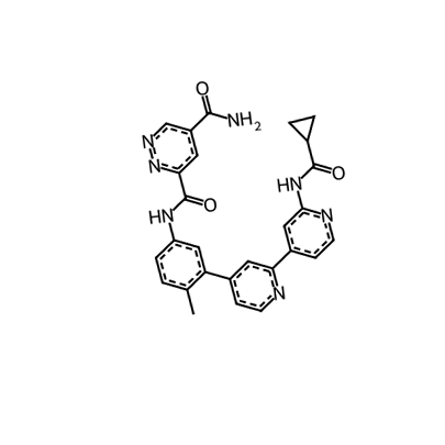 Cc1ccc(NC(=O)c2cc(C(N)=O)cnn2)cc1-c1ccnc(-c2ccnc(NC(=O)C3CC3)c2)c1